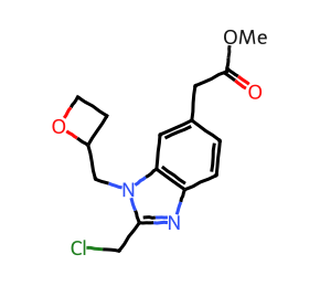 COC(=O)Cc1ccc2nc(CCl)n(CC3CCO3)c2c1